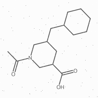 CC(=O)N1CC(CC2CCCCC2)CC(C(=O)O)C1